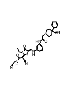 CCn1c(=C(C#N)C(=O)NCC#N)sc(=CNc2cccc(NC(=O)CN3CCC(C#N)(c4ccccc4)CC3)c2)c1=O